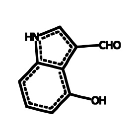 O=Cc1c[nH]c2cccc(O)c12